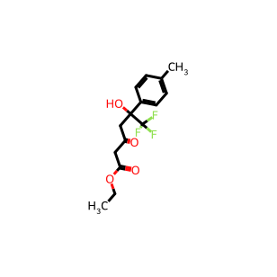 CCOC(=O)CC(=O)CC(O)(c1ccc(C)cc1)C(F)(F)F